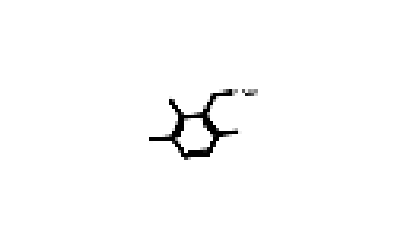 CNCc1c(F)ccc(C)c1C